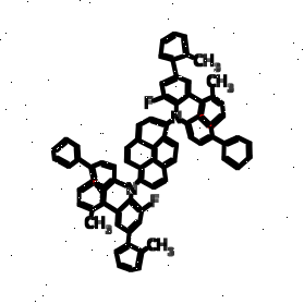 Cc1ccccc1-c1cc(F)c(N(c2ccc(-c3ccccc3)cc2)c2ccc3ccc4c(N(c5ccc(-c6ccccc6)cc5)c5c(F)cc(-c6ccccc6C)cc5-c5ccccc5C)ccc5ccc2c3c54)c(-c2ccccc2C)c1